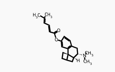 CC(C)=C/C=C/C(=O)Oc1ccc2c(c1)[C@@]13CCC1C[C@@H]3[C@@H](N(C)C)C2